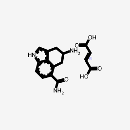 NC(=O)c1ccc2[nH]cc3c2c1CC(N)C3.O=C(O)/C=C/C(=O)O